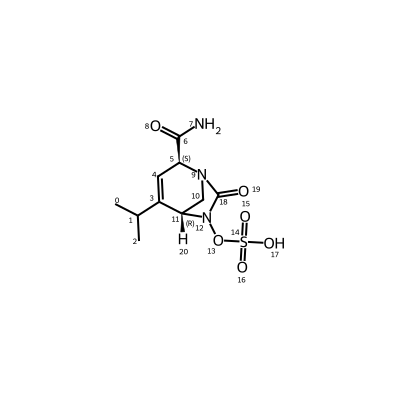 CC(C)C1=C[C@@H](C(N)=O)N2C[C@@H]1N(OS(=O)(=O)O)C2=O